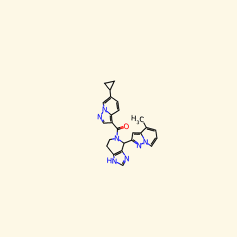 Cc1cccn2nc(C3c4nc[nH]c4CCN3C(=O)c3cnn4cc(C5CC5)ccc34)cc12